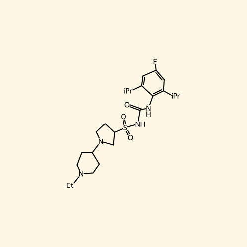 CCN1CCC(N2CCC(S(=O)(=O)NC(=O)Nc3c(C(C)C)cc(F)cc3C(C)C)C2)CC1